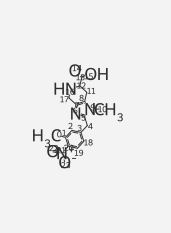 Cc1cc(Cc2nc3c(n2C)CC(C(=O)O)NC3)ccc1[N+](=O)[O-]